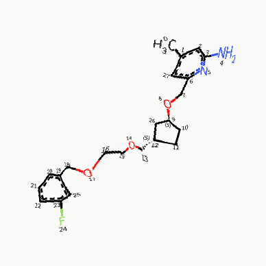 Cc1cc(N)nc(CO[C@H]2CC[C@H](COCCOCc3cccc(F)c3)C2)c1